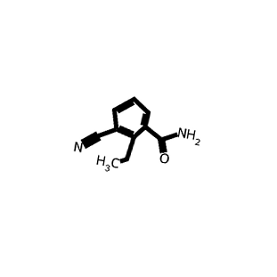 CCc1c(C#N)cccc1C(N)=O